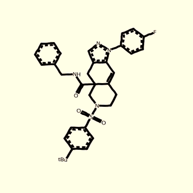 CC(C)(C)c1ccc(S(=O)(=O)N2CCC3=Cc4c(cnn4-c4ccc(F)cc4)CC3(C(=O)NCc3ccccc3)C2)cc1